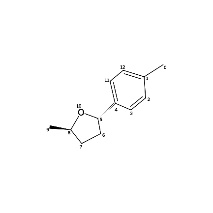 Cc1ccc([C@@H]2CC[C@@H](C)O2)cc1